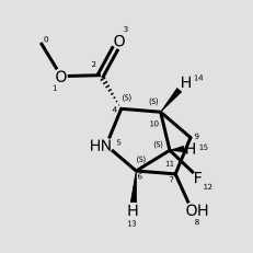 COC(=O)[C@H]1N[C@H]2C(O)C[C@@H]1[C@@H]2F